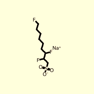 O=S(=O)([O-])CC(F)C(F)CCCCCCF.[Na+]